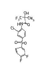 CC(O)(C(=O)Nc1ccc(S(=O)(=O)c2ccc(F)c(F)c2)cc1Cl)C(F)(F)F